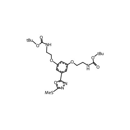 CSc1nnc(-c2cc(OCCNC(=O)OC(C)(C)C)cc(OCCNC(=O)OC(C)(C)C)c2)o1